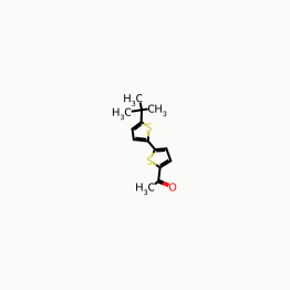 CC(=O)c1ccc(-c2ccc(C(C)(C)C)s2)s1